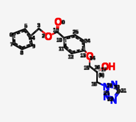 O=C(OCc1ccccc1)c1ccc(OC[C@H](O)Cn2ncnn2)cc1